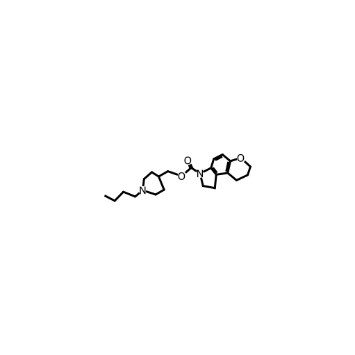 CCCCN1CCC(COC(=O)N2CCc3c2ccc2c3CCCO2)CC1